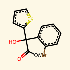 COC(=O)C(O)(c1cccs1)c1ccccc1Br